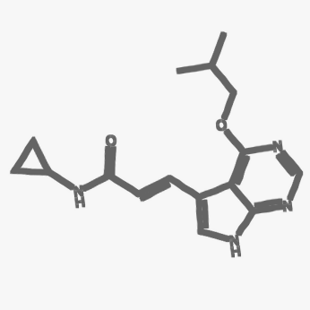 CC(C)COc1ncnc2[nH]cc(/C=C/C(=O)NC3CC3)c12